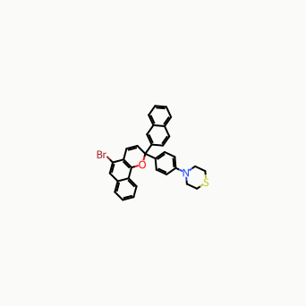 Brc1cc2ccccc2c2c1C=CC(c1ccc(N3CCSCC3)cc1)(c1ccc3ccccc3c1)O2